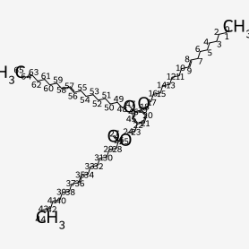 CCCCCCCCC=CCCCCCCCCOc1ccc(CCOC(=O)CCCCCCCC=CCCCCCCCC)cc1OCCCCCCCCC=CCCCCCCCC